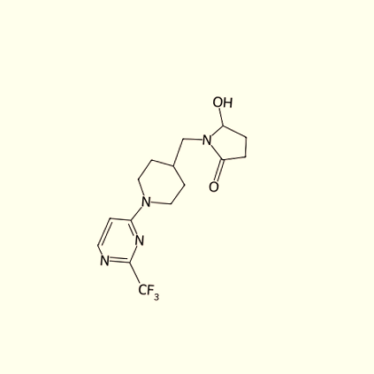 O=C1CCC(O)N1CC1CCN(c2ccnc(C(F)(F)F)n2)CC1